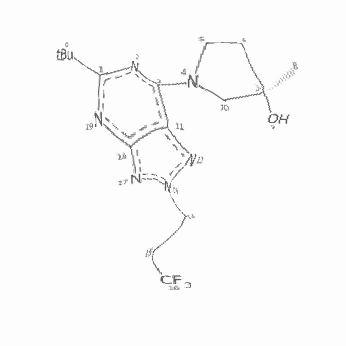 CC(C)(C)c1nc(N2CC[C@@](C)(O)C2)c2nn(CCC(F)(F)F)nc2n1